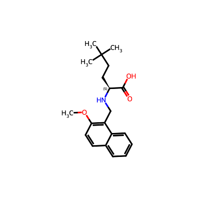 COc1ccc2ccccc2c1CN[C@@H](CCC(C)(C)C)C(=O)O